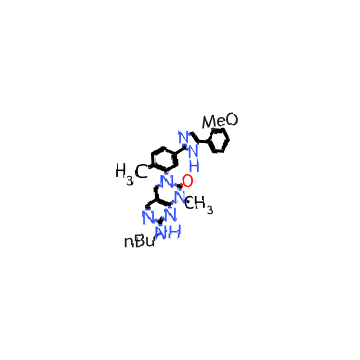 CCCCNc1ncc2c(n1)N(C)C(=O)N(c1cc(-c3ncc(-c4ccccc4OC)[nH]3)ccc1C)C2